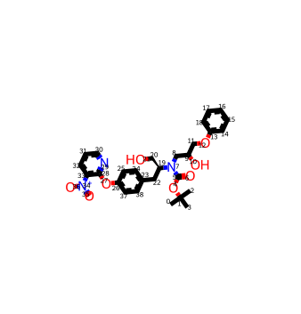 CC(C)(C)OC(=O)N(CC(O)COc1ccccc1)[C@H](CO)Cc1ccc(Oc2ncccc2[N+](=O)[O-])cc1